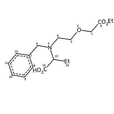 CCOC(=O)COCCN(Cc1ccccc1)C(CC)C(=O)O